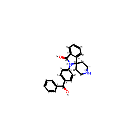 O=C(c1ccccc1)c1ccc(N2C(=O)c3ccccc3C23CCNCC3)cc1